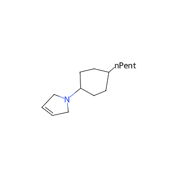 CCCCCC1CCC(N2CC=CC2)CC1